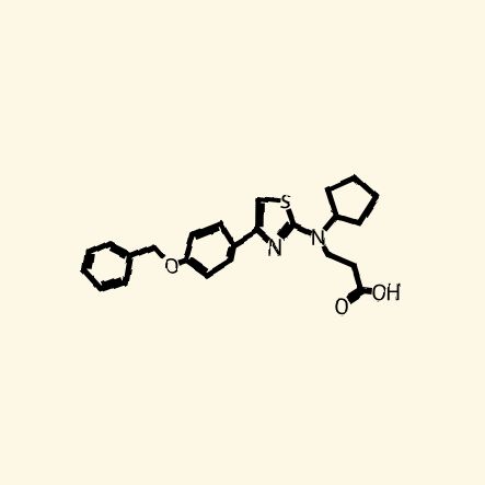 O=C(O)CCN(c1nc(-c2ccc(OCc3ccccc3)cc2)cs1)C1CCCC1